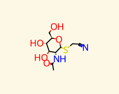 CC(=O)N[C@@H]1[C@@H](O)[C@H](O)[C@@H](CO)O[C@H]1SCC#N